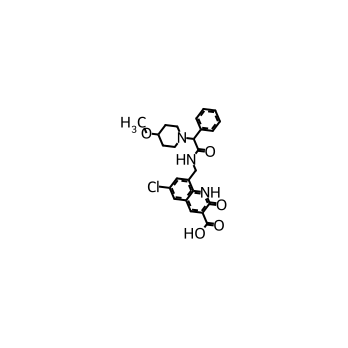 COC1CCN(C(C(=O)NCc2cc(Cl)cc3cc(C(=O)O)c(=O)[nH]c23)c2ccccc2)CC1